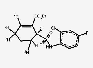 [2H]C1=C(C(=O)OCC)[C@]([2H])(S(=O)(=O)Nc2ccc(F)cc2Cl)C([2H])([2H])CC1([2H])[2H]